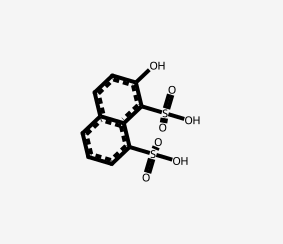 O=S(=O)(O)c1cccc2ccc(O)c(S(=O)(=O)O)c12